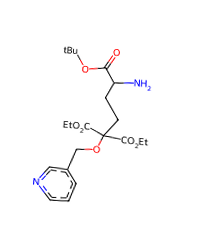 CCOC(=O)C(CCC(N)C(=O)OC(C)(C)C)(OCc1cccnc1)C(=O)OCC